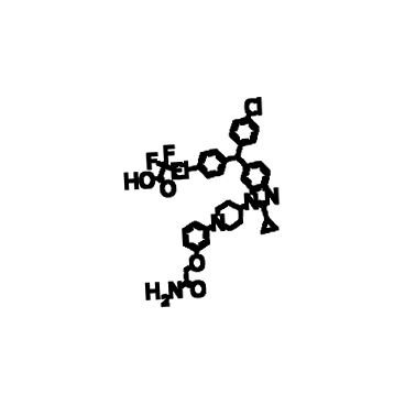 NC(=O)COc1cccc(N2CCC(n3c(C4CC4)nc4ccc(C(c5ccc(Cl)cc5)c5ccc(Cl)cc5)cc43)CC2)c1.O=C(O)C(F)(F)F